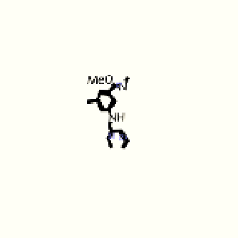 C/C=C\C(=C/C)CNc1cc(C)cc(/C(=N/C)OC)c1